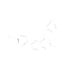 CCCCc1ccc(-c2ccc3nc(N)nc(Nc4cccc(Br)c4)c3c2)cc1